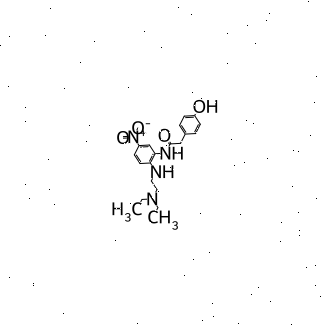 CCN(CC)CCNc1ccc([N+](=O)[O-])cc1NC(=O)Cc1ccc(O)cc1